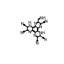 N#CC1=Nc2c3c(c4nc(C=N)c(C#N)nc4c2NC1C#N)NC(C#N)C(C#N)=N3